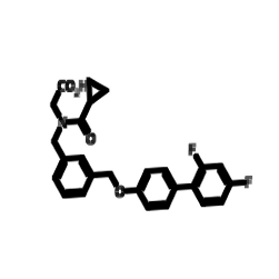 O=C(O)CN(Cc1cccc(COc2ccc(-c3ccc(F)cc3F)cc2)c1)C(=O)C1CC1